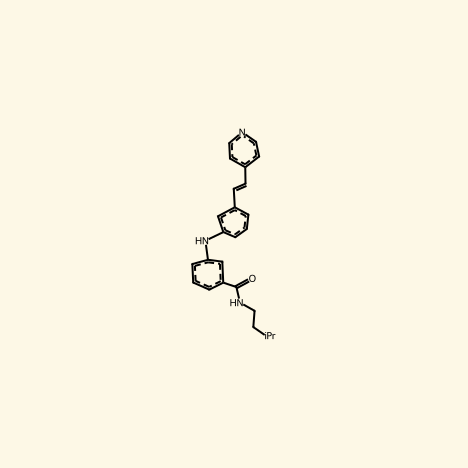 CC(C)CCNC(=O)c1cccc(Nc2cccc(/C=C/c3ccncc3)c2)c1